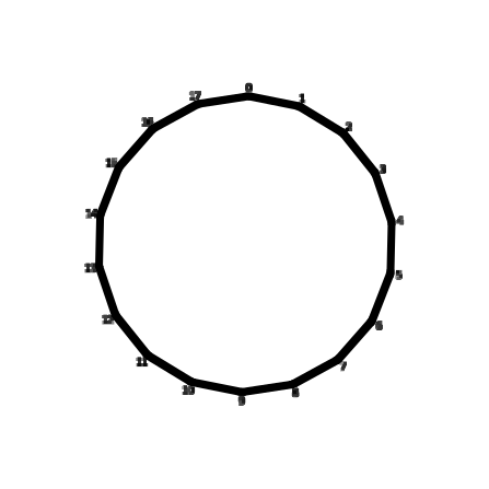 C1CCCCCCCCCCCCCCCCC1